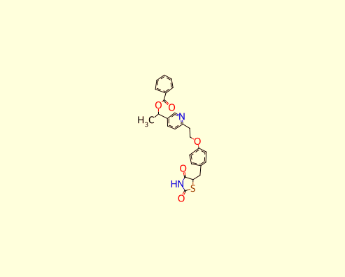 CC(OC(=O)c1ccccc1)c1ccc(CCOc2ccc(CC3SC(=O)NC3=O)cc2)nc1